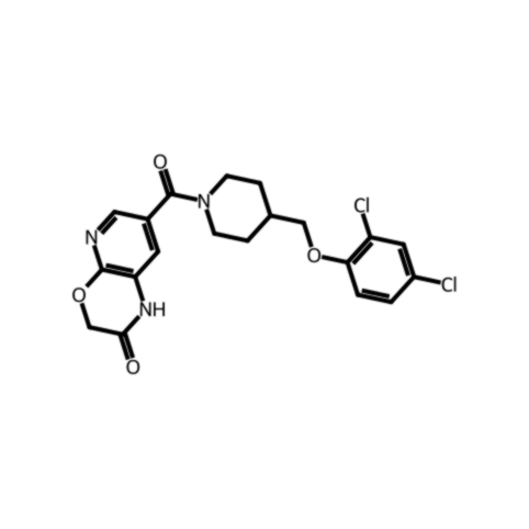 O=C1COc2ncc(C(=O)N3CCC(COc4ccc(Cl)cc4Cl)CC3)cc2N1